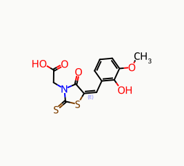 COc1cccc(/C=C2/SC(=S)N(CC(=O)O)C2=O)c1O